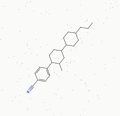 CCCC1CCC(C2CCC(c3ccc(C#N)cc3)C(C)C2)CC1